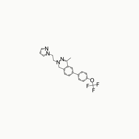 CC1=NN(CCn2cccn2)Cc2ccc(-c3ccc(OC(F)(F)F)cc3)cc21